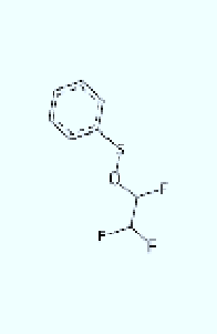 FC(F)C(F)OSc1ccccc1